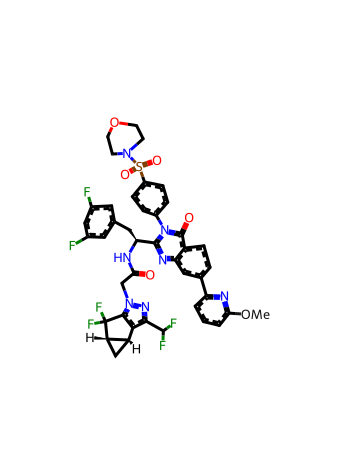 COc1cccc(-c2ccc3c(=O)n(-c4ccc(S(=O)(=O)N5CCOCC5)cc4)c([C@H](Cc4cc(F)cc(F)c4)NC(=O)Cn4nc(C(F)F)c5c4C(F)(F)[C@H]4C[C@@H]54)nc3c2)n1